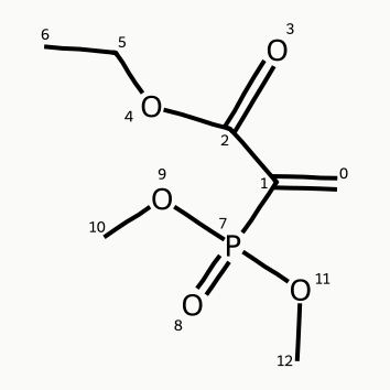 C=C(C(=O)OCC)P(=O)(OC)OC